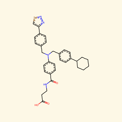 O=C(O)CCNC(=O)c1ccc(N(Cc2ccc(-c3csnn3)cc2)Cc2ccc(C3CCCCC3)cc2)cc1